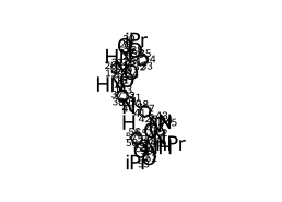 CCCN(Cc1nc(-c2ccc(-c3cc4cc(NC(=O)[C@@H]5CCCN5C(=O)[C@H](NC(=O)OC(C)C)c5ccccc5)ccc4[nH]3)cc2)cn1C)C(=O)[C@H](NC(=O)OC(C)C)c1ccccc1